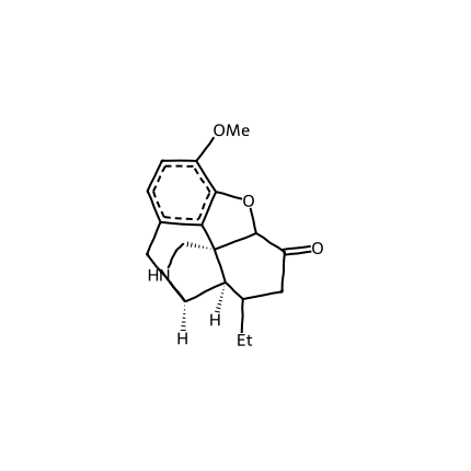 CCC1CC(=O)C2Oc3c(OC)ccc4c3[C@@]23CCN[C@H](C4)[C@H]13